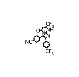 N#Cc1ccc(-c2c(-c3ccc(C(F)(F)F)cc3)nc3[nH]c(C(F)(F)F)cc(=O)n23)cc1